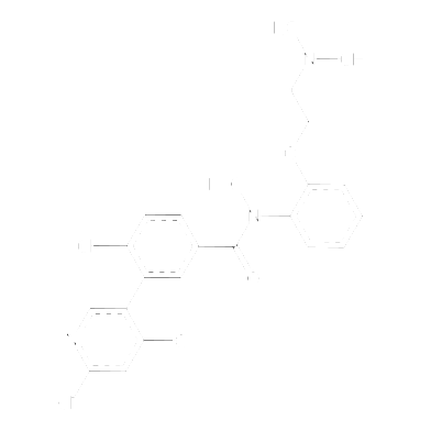 CN(C)CCOc1ccccc1N(C)C(=O)c1ccc(Cl)c(-c2cnc(Cl)cc2Cl)c1